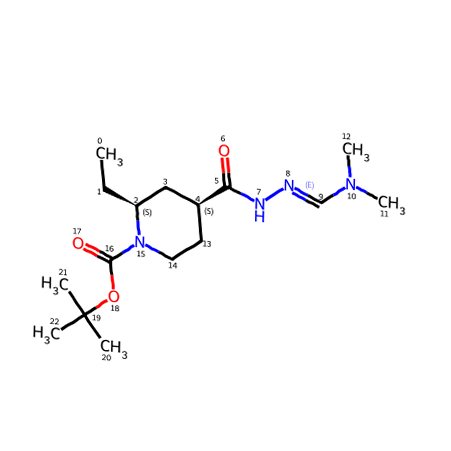 CC[C@H]1C[C@@H](C(=O)N/N=C/N(C)C)CCN1C(=O)OC(C)(C)C